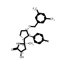 C[C@]1([C@@H]2CC[C@H](OCc3cc(C(F)(F)F)cc(C(F)(F)F)c3)[C@H]2c2ccc(F)cc2)C[C@@H](O)C(=O)N1